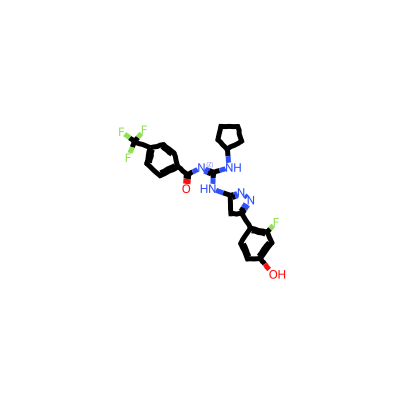 O=C(/N=C(\NC1=NN=C(c2ccc(O)cc2F)C1)NC1CCCC1)c1ccc(C(F)(F)F)cc1